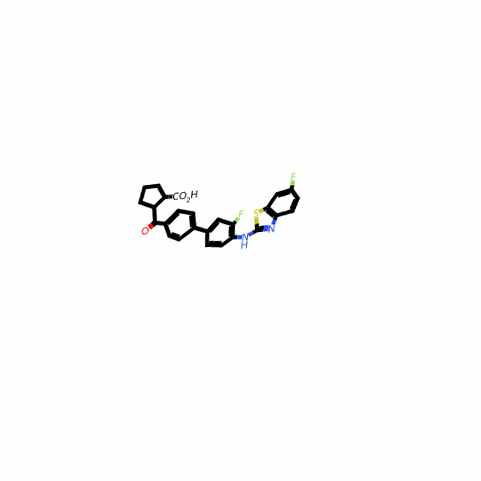 O=C(O)C1CCCC1C(=O)c1ccc(-c2ccc(Nc3nc4ccc(F)cc4s3)c(F)c2)cc1